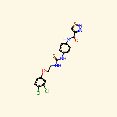 O=C(Nc1ccc(NC(=S)NCCOc2ccc(Cl)c(Cl)c2)cc1)c1csnn1